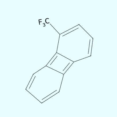 FC(F)(F)c1cccc2c1=c1ccccc1=2